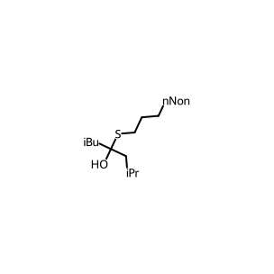 CCCCCCCCCCCCSC(O)(CC(C)C)C(C)CC